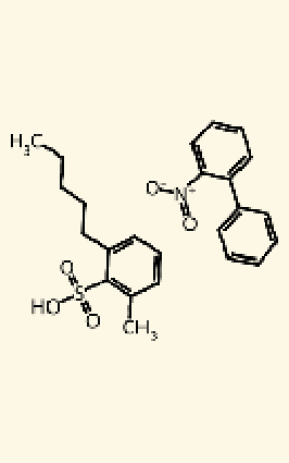 CCCCCc1cccc(C)c1S(=O)(=O)O.O=[N+]([O-])c1ccccc1-c1ccccc1